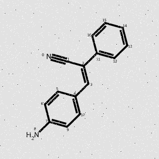 N#C/C(=C\c1ccc(N)cc1)c1ccccc1